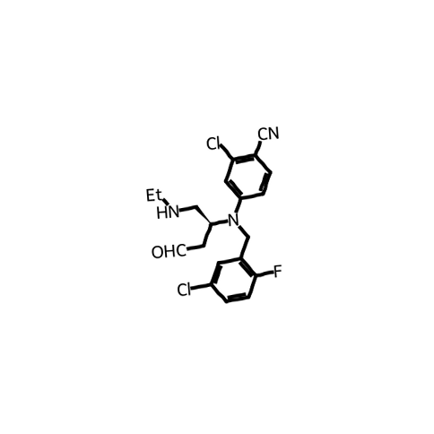 CCNC[C@H](CC=O)N(Cc1cc(Cl)ccc1F)c1ccc(C#N)c(Cl)c1